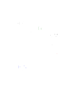 C=C(Br)S/C(=C\N)C(=O)OC